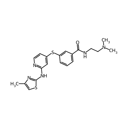 Cc1csc(Nc2cc(Sc3cccc(C(=O)NCCN(C)C)c3)ccn2)n1